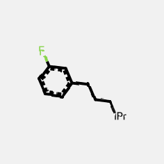 CC(C)CCCc1cccc(F)c1